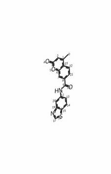 Cc1cc(=O)oc2cc(C(=O)Nc3ccc4scnc4c3)ccc12